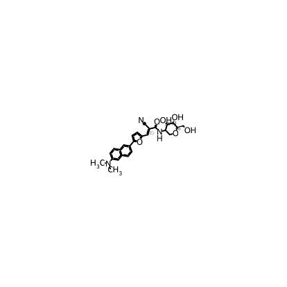 CN(C)c1ccc2cc(-c3ccc(/C=C(\C#N)C(=O)NC4CO[C@H](CO)[C@@H](O)[C@@H]4O)o3)ccc2c1